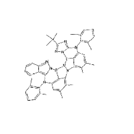 Cc1cc2c3c(c1C)N1c4c(C)c(C)cc5c4B(N1B3n1nc(C(C)(C)C)nc1N2c1c(C)cccc1C)n1nc2ccccc2c1N5c1c(C)cccc1C